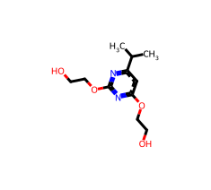 CC(C)c1cc(OCCO)nc(OCCO)n1